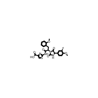 COc1ccc(C2NC(=O)N(C(Cc3ccccc3OC)C(=O)Nc3nc(C(=O)O)cs3)C2=O)cc1F